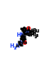 CC(C(=O)N1c2ccccc2[C@H](Nc2ccc(C(=O)N3CC(N)C3)cc2)C[C@@H]1C)C(C)(C)C